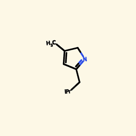 CC1=CC(CC(C)C)=NC1